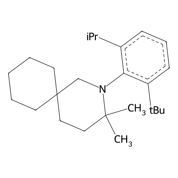 CC(C)c1cccc(C(C)(C)C)c1N1CC2(CCCCC2)CCC1(C)C